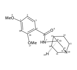 COc1ccc(C(=O)N[C@@H]2CN3CCC2CC3)c(OC)c1